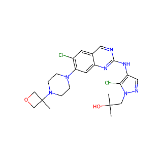 CC(C)(O)Cn1ncc(Nc2ncc3cc(Cl)c(N4CCN(C5(C)COC5)CC4)cc3n2)c1Cl